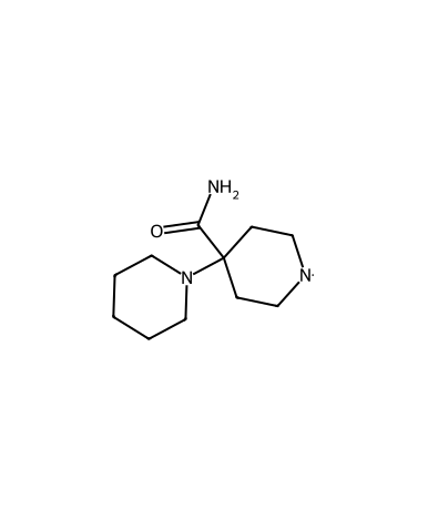 NC(=O)C1(N2CCCCC2)CC[N]CC1